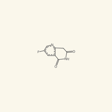 O=C1Cc2ncc(F)cc2C(=O)N1